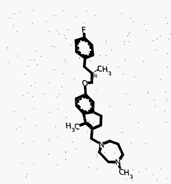 CC1=C(CN2CCCN(C)CC2)CCc2cc(OC[C@@H](C)Cc3ccc(F)cc3)ccc21